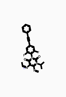 C=Nc1c(/N=C\C)c(=O)n(-c2c(F)cc(C#Cc3ccccc3)cc2F)c(=O)n1C(C)C